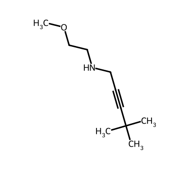 COCCNCC#CC(C)(C)C